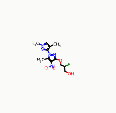 Cc1cn(C)nc1-n1nc(OCC(F)CO)c([N+](=O)[O-])c1C